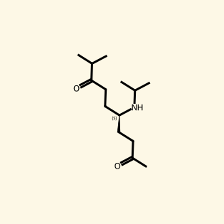 CC(=O)CC[C@@H](CCC(=O)C(C)C)NC(C)C